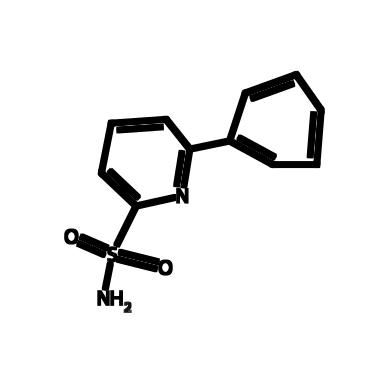 NS(=O)(=O)c1cccc(-c2ccccc2)n1